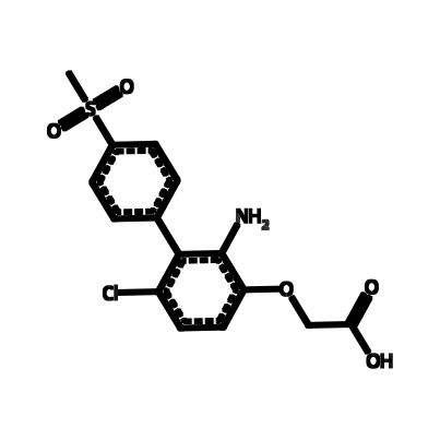 CS(=O)(=O)c1ccc(-c2c(Cl)ccc(OCC(=O)O)c2N)cc1